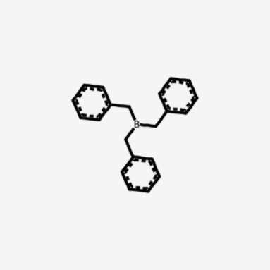 c1ccc(CB(Cc2ccccc2)Cc2ccccc2)cc1